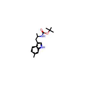 Cc1ccc2c(CC(C)NC(=O)OC(C)(C)C)c[nH]c2c1